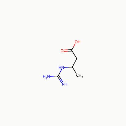 CC(CC(=O)O)NC(=N)N